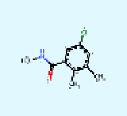 CNC(=O)c1cc(Cl)cc(C)c1C